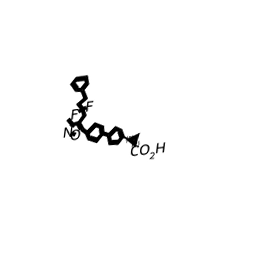 Cc1noc(-c2ccc(-c3ccc([C@H]4C[C@H]4C(=O)O)cc3)cc2)c1CC(F)(F)CCc1ccccc1